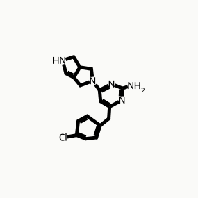 Nc1nc(Cc2ccc(Cl)cc2)cc(N2CC3=CNCC3C2)n1